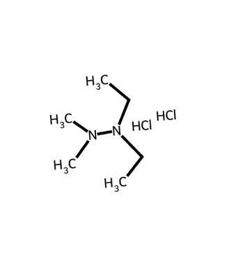 CCN(CC)N(C)C.Cl.Cl